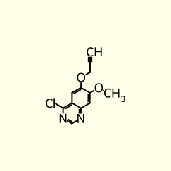 C#CCOc1cc2c(Cl)ncnc2cc1OC